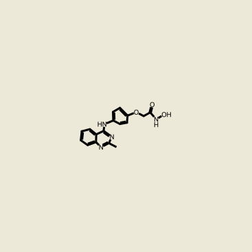 Cc1nc(Nc2ccc(OCC(=O)NO)cc2)c2ccccc2n1